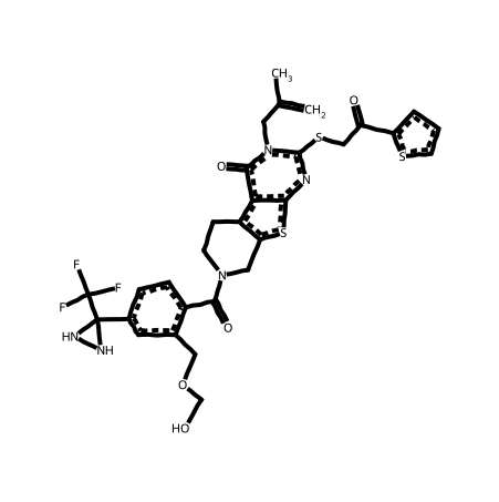 C=C(C)Cn1c(SCC(=O)c2cccs2)nc2sc3c(c2c1=O)CCN(C(=O)c1ccc(C2(C(F)(F)F)NN2)cc1COCO)C3